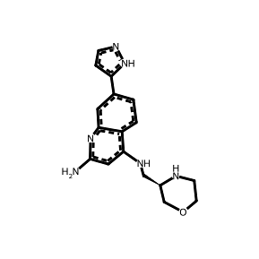 Nc1cc(NC[C@@H]2COCCN2)c2ccc(-c3ccn[nH]3)cc2n1